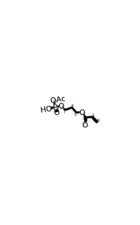 C=CC(=O)OCCCOP(=O)(O)OC(C)=O